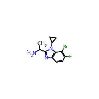 C[C@H](N)c1nc2ccc(F)c(Br)c2n1C1CC1